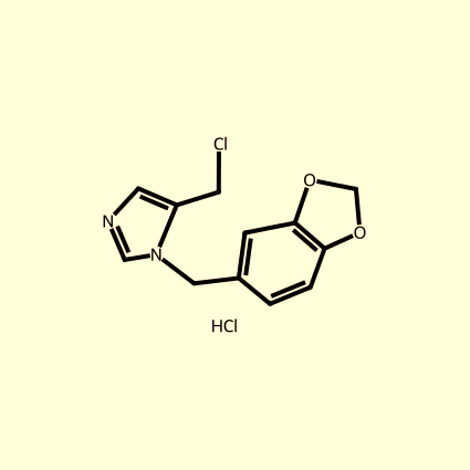 Cl.ClCc1cncn1Cc1ccc2c(c1)OCO2